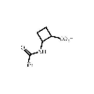 CC(C)C(=O)NC1CCC1C(=O)O